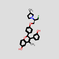 CC1=C(c2cccc(O)c2)C(c2ccc(OC[C@H](CF)N3CC[C@@H](C)C3)cc2)Oc2ccc(O)cc21